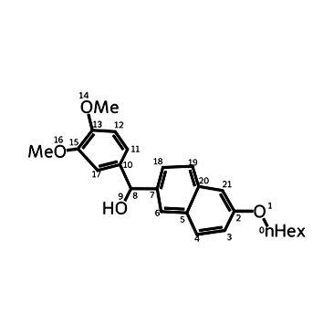 CCCCCCOc1ccc2cc(C(O)c3ccc(OC)c(OC)c3)ccc2c1